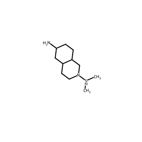 C[SH](C)N1CCC2CC(N)CCC2C1